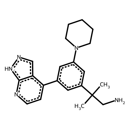 CC(C)(CN)c1cc(-c2ccnc3[nH]ncc23)cc(N2CCCCC2)c1